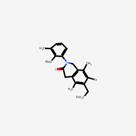 CCOC(=O)Cc1c(C)c2c(c(C)c1CC)CN(c1cccc(C)c1OC)C(=O)C2